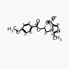 COc1ccc(C(=O)OCCn2c([N+](=O)[O-])cnc2C)cc1